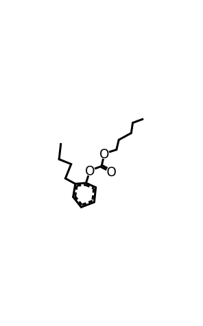 CCCCCOC(=O)Oc1ccccc1CCCC